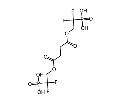 O=C(CCC(=O)OCC(F)(F)P(=O)(O)O)OCC(F)(F)P(=O)(O)O